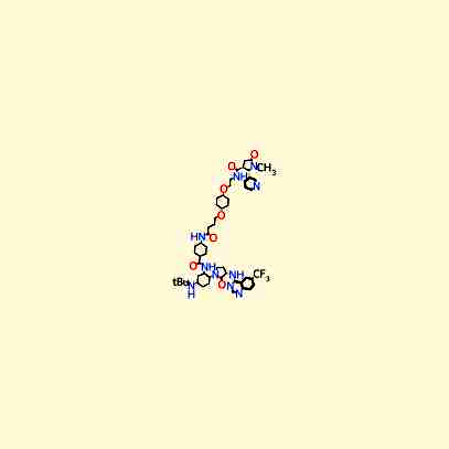 CN1C(=O)C[C@H](C(=O)NCCO[C@H]2CC[C@@H](OCCCC(=O)NC3CCC(C(=O)N[C@@H]4C[C@H](NC(C)(C)C)CC[C@@H]4N4CC[C@H](Nc5ncnc6ccc(C(F)(F)F)cc56)C4=O)CC3)CC2)[C@H]1c1cccnc1